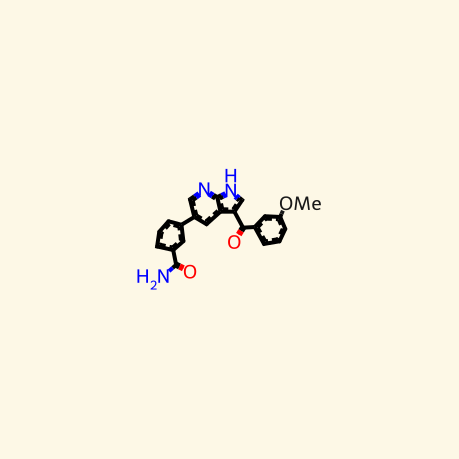 COc1cccc(C(=O)c2c[nH]c3ncc(-c4cccc(C(N)=O)c4)cc23)c1